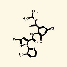 Cc1cccnc1-n1nc(Br)cc1C(=O)Nc1c(Cl)cc(Cl)cc1C(=O)NC(C)C